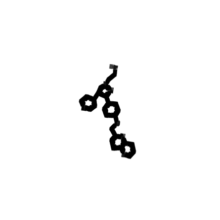 [18F]CCn1cc(-c2ccncc2)c(-c2ccc(OCc3ccc4ncccc4n3)cc2)n1